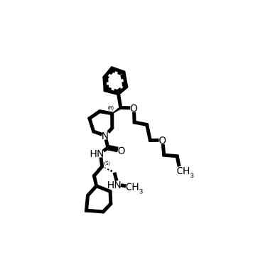 CCCOCCCOC(c1ccccc1)[C@@H]1CCCN(C(=O)N[C@H](CNC)CC2CCCCC2)C1